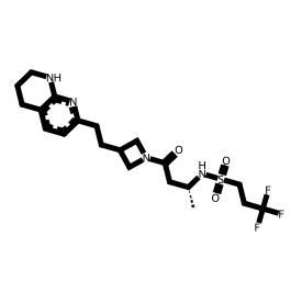 C[C@H](CC(=O)N1CC(CCc2ccc3c(n2)NCCC3)C1)NS(=O)(=O)CCC(F)(F)F